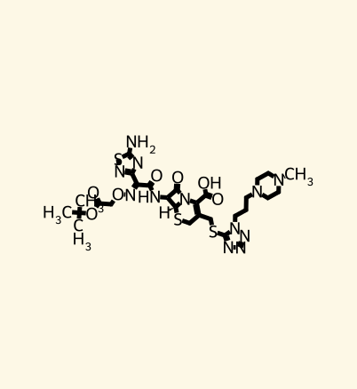 CN1CCN(CCCn2nnnc2SCC2=C(C(=O)O)N3C(=O)C(NC(=O)C(=NOCC(=O)OC(C)(C)C)c4nsc(N)n4)[C@@H]3SC2)CC1